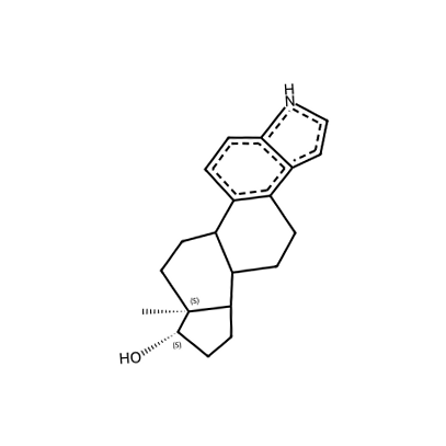 C[C@]12CCC3c4ccc5[nH]ccc5c4CCC3C1CC[C@@H]2O